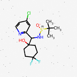 CC(C)(C)[S@+]([O-])NC(c1cc(Cl)ccn1)C1(O)CCC(F)(F)CC1